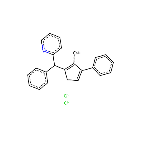 [Cl-].[Cl-].[Cr+2][C]1=C(C(c2ccccc2)c2ccccn2)CC=C1c1ccccc1